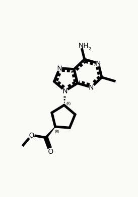 COC(=O)[C@@H]1CC[C@@H](n2cnc3c(N)nc(C)nc32)C1